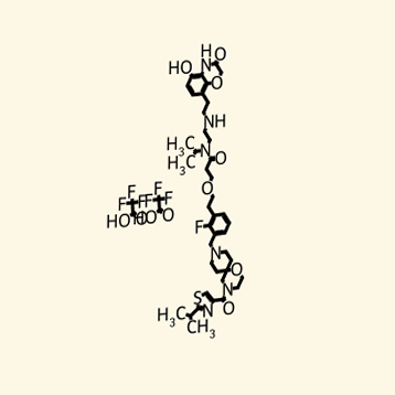 CC(C)c1nc(C(=O)N2CCOC3(CCN(Cc4cccc(CCOCCC(=O)N(CCNCCc5ccc(O)c6c5OCC(=O)N6)C(C)C)c4F)CC3)C2)cs1.O=C(O)C(F)(F)F.O=C(O)C(F)(F)F